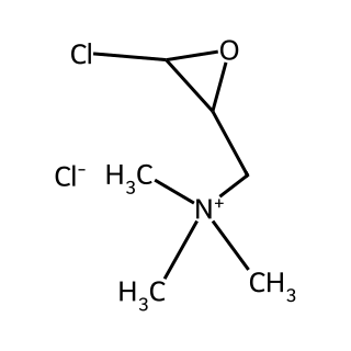 C[N+](C)(C)CC1OC1Cl.[Cl-]